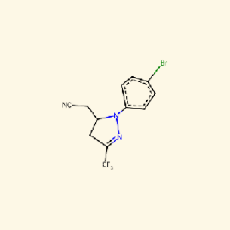 N#CCC1CC(C(F)(F)F)=NN1c1ccc(Br)cc1